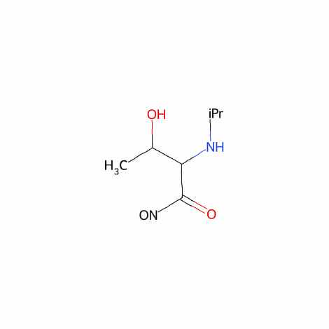 CC(C)NC(C(=O)N=O)C(C)O